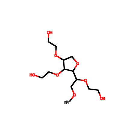 CCCOCC(OCCO)C1OCC(OCCO)C1OCCO